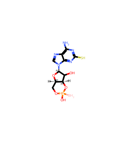 B[PH]1(O)OC[C@H]2O[C@@H](n3cnc4c(N)nc(S)nc43)C(O)[C@H]2O1